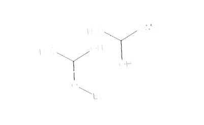 CCOC(C)O.COC(C)O